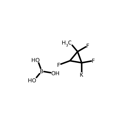 CC1(F)C(F)[C]1(F)[K].OB(O)O